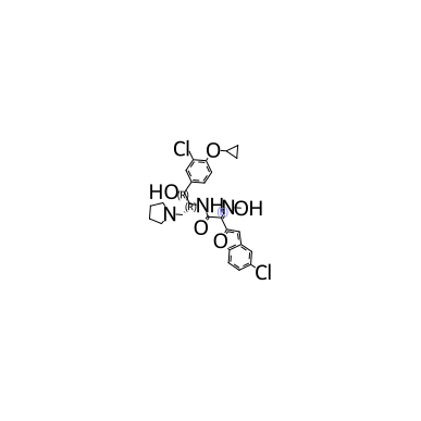 O=C(N[C@H](CN1CCCC1)[C@H](O)c1ccc(OC2CC2)c(Cl)c1)/C(=N/O)c1cc2cc(Cl)ccc2o1